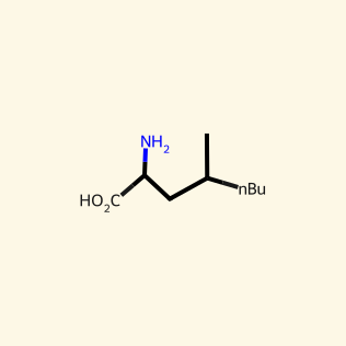 CCCCC(C)CC(N)C(=O)O